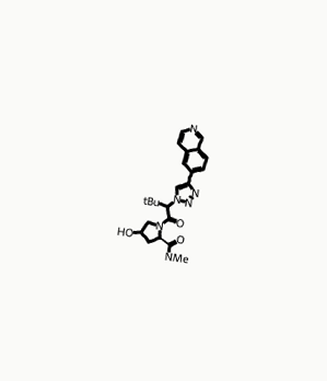 CNC(=O)[C@H]1CC(O)CN1C(=O)C(n1cc(-c2ccc3cnccc3c2)nn1)C(C)(C)C